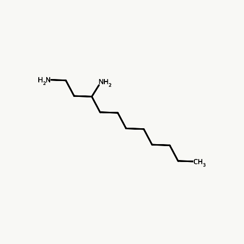 CCCCCCCCC(N)CCN